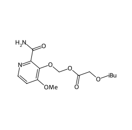 CCC(C)OCC(=O)OCOc1c(OC)ccnc1C(N)=O